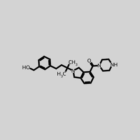 CC(C)(CCc1cccc(CO)c1)N1Cc2cccc(C(=O)N3CCNCC3)c2C1